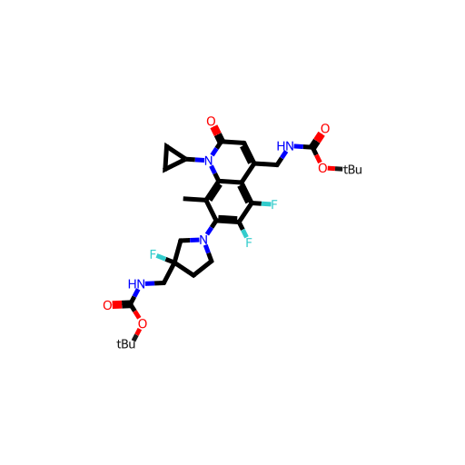 Cc1c(N2CCC(F)(CNC(=O)OC(C)(C)C)C2)c(F)c(F)c2c(CNC(=O)OC(C)(C)C)cc(=O)n(C3CC3)c12